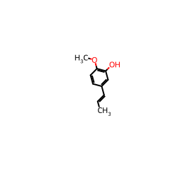 C/C=C/c1ccc(OC)c(O)c1